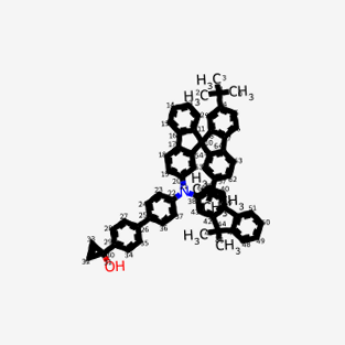 CC(C)(C)c1ccc2c(c1)C1(c3ccccc3-c3ccc(N(c4ccc(-c5ccc(C6(O)C=C6)cc5)cc4)c4ccc5c(c4)C(C)(C)c4ccccc4-5)cc31)c1cc(C(C)(C)C)ccc1-2